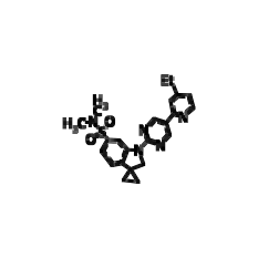 CCc1ccnc(-c2cnc(N3CC4(CC4)c4ccc(S(=O)(=O)N(C)C)cc43)nc2)c1